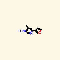 Cc1cc(-c2ccoc2)ncc1N